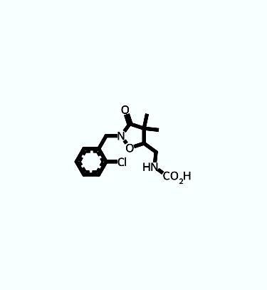 CC1(C)C(=O)N(Cc2ccccc2Cl)OC1CNC(=O)O